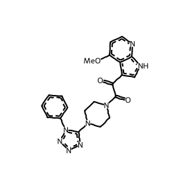 COc1ccnc2[nH]cc(C(=O)C(=O)N3CCN(c4nnnn4-c4ccccc4)CC3)c12